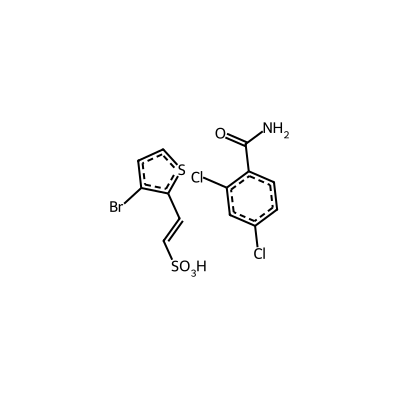 NC(=O)c1ccc(Cl)cc1Cl.O=S(=O)(O)/C=C/c1sccc1Br